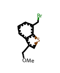 COCc1csc2c(CBr)cccc12